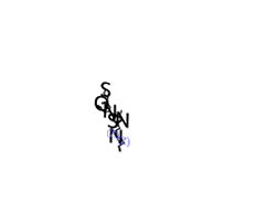 C#CCN(CC(=O)CCSC)c1sc(C/C=N\C=C/C=C)nc1C